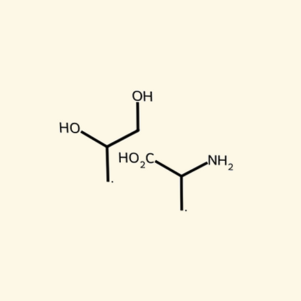 [CH2]C(N)C(=O)O.[CH2]C(O)CO